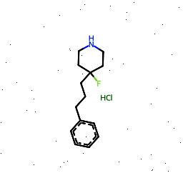 Cl.FC1(CCCc2ccccc2)CCNCC1